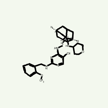 N#Cc1cnc(NCc2ccccc2OC(F)(F)F)nc1NC[C@@]12CC3C[C@H](C1)[C@@H](NC1CCOCC1)[C@@H](C3)C2